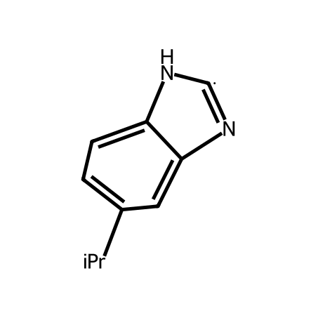 CC(C)c1ccc2[nH][c]nc2c1